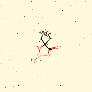 CB1OC(=O)C(CC(=O)O)(CC(=O)O)O1